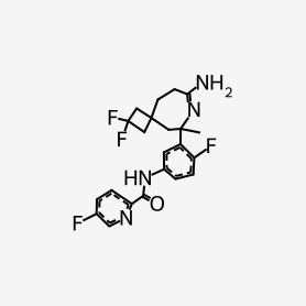 CC1(c2cc(NC(=O)c3ccc(F)cn3)ccc2F)CC2(CCC(N)=N1)CC(F)(F)C2